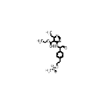 CCOC(=O)c1c(CC)ncnc1NC(C=O)c1ccc(CCOS(C)(=O)=O)cc1